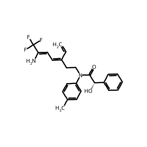 C=C/C(=C\C=C(/N)C(F)(F)F)CCN(C(=O)[C@@H](O)c1ccccc1)c1ccc(C)cc1